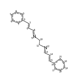 C(=C\c1ccccc1)/C=N/CC/N=C/C=C/c1ccccc1